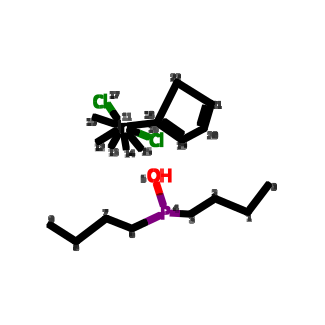 CCCCP(O)CCCC.[CH3][Ir]([CH3])([CH3])([CH3])([CH3])([Cl])([Cl])[C]1=CC=CC1